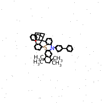 CC1(C)CCC(C)(C)c2cc(N(c3ccc(-c4ccccc4)cc3)c3cccc4c3Sc3cccc(-c5ccccc5)c3C43C4CC5CC6CC3C64C5)ccc21